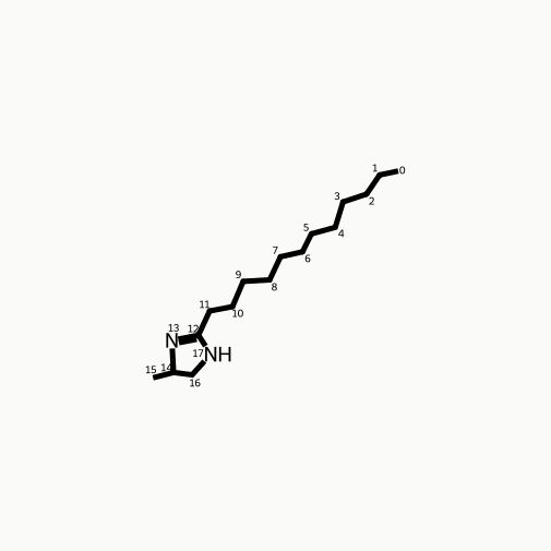 CCCCCCCCCCCCC1=NC(C)CN1